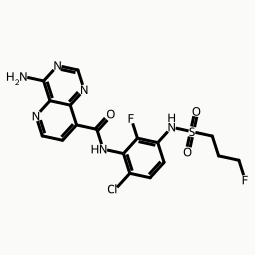 Nc1ncnc2c(C(=O)Nc3c(Cl)ccc(NS(=O)(=O)CCCF)c3F)ccnc12